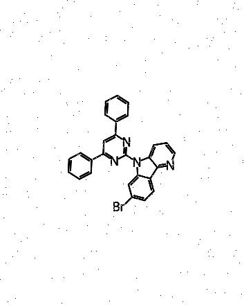 Brc1ccc2c3ncccc3n(-c3nc(-c4ccccc4)cc(-c4ccccc4)n3)c2c1